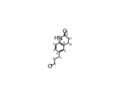 [O]CCCc1ccc2c(c1)CCC(=O)N2